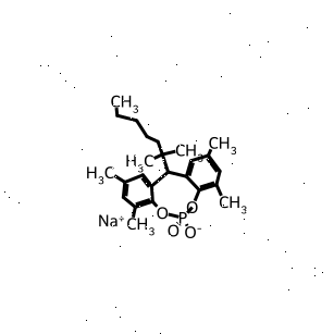 CCCCCC(C)(C)C1c2cc(C)cc(C)c2OP(=O)([O-])Oc2c(C)cc(C)cc21.[Na+]